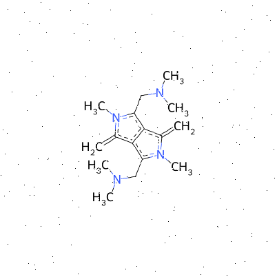 C=c1c2c(CN(C)C)n(C)c(=C)c2c(CN(C)C)n1C